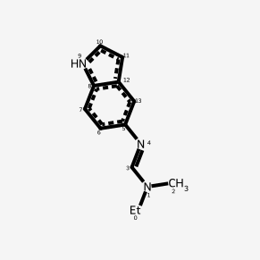 CCN(C)C=Nc1ccc2[nH]ccc2c1